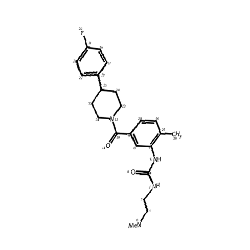 CNCCNC(=O)Nc1cc(C(=O)N2CCC(c3ccc(F)cc3)CC2)ccc1C